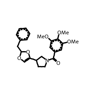 COc1cc(C(=O)N2CCC(C3=COC(Cc4ccccc4)O3)C2)cc(OC)c1OC